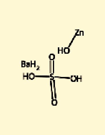 O=S(=O)(O)O.[BaH2].[OH][Zn]